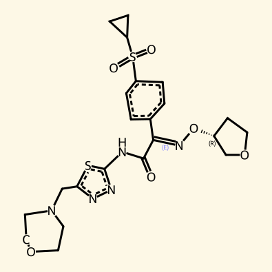 O=C(Nc1nnc(CN2CCOCC2)s1)/C(=N/O[C@@H]1CCOC1)c1ccc(S(=O)(=O)C2CC2)cc1